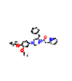 COc1ccc(N2CCN(C(=O)Cc3ccccn3)C(Cc3ccccc3)C2)cc1OC1CCC1